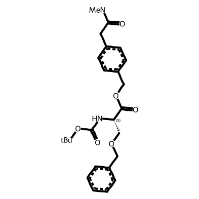 [CH2]NC(=O)Cc1ccc(COC(=O)[C@H](COCc2ccccc2)NC(=O)OC(C)(C)C)cc1